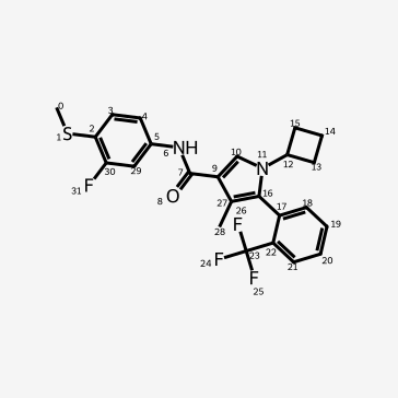 CSc1ccc(NC(=O)c2cn(C3CCC3)c(-c3ccccc3C(F)(F)F)c2C)cc1F